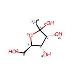 [2H]C1(O)O[C@H](CO)[C@@H](O)[C@H]1O